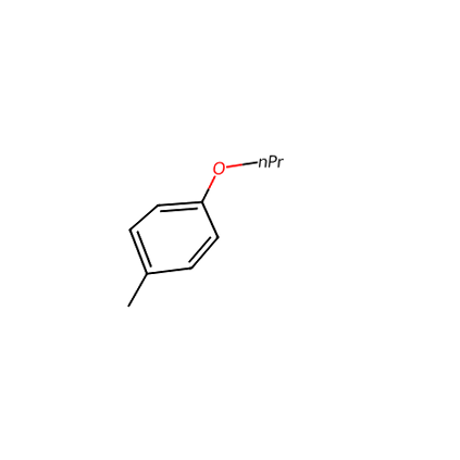 C[CH]COc1ccc(C)cc1